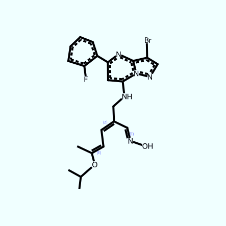 C\C(=C/C=C(\C=N\O)CNc1cc(-c2ccccc2F)nc2c(Br)cnn12)OC(C)C